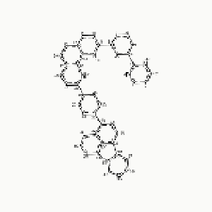 c1cnc(-c2cccc(-c3ccc4ccc5ccc(-c6ccc(-c7ccc8c9c(cccc79)-c7ccccc7-8)cc6)nc5c4n3)c2)nc1